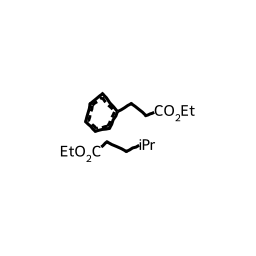 CCOC(=O)CCC(C)C.CCOC(=O)CCc1ccccc1